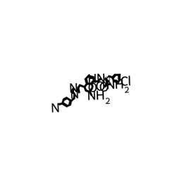 N#Cc1ccc(Cn2cnc(CC3CC(N)Oc4c(C(=O)N[C@@H](Cc5ccc(Cl)cc5)C(N)=O)cccc43)c2)cc1